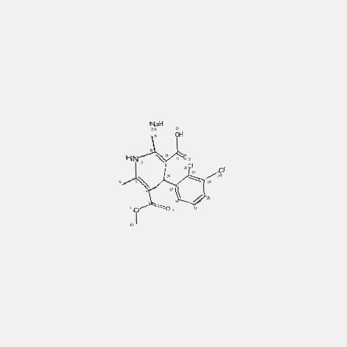 COC(=O)C1=C(C)NC(C)=C(C(=O)O)C1c1cccc(Cl)c1Cl.[NaH]